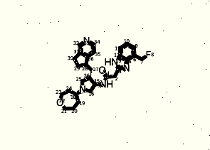 O=C(Cc1nc2c(CF)cccc2[nH]1)NC1CN(C2CCCOCC2)C[C@@H]1CC1CCc2cnccc21